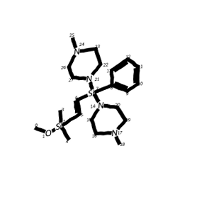 CO[Si](C)(C)C=C[Si](c1ccccc1)(N1CCN(C)CC1)N1CCN(C)CC1